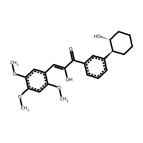 COc1cc(OC)c(OC)cc1C=C(O)C(=O)c1cccc([C@@H]2CCCC[C@H]2O)c1